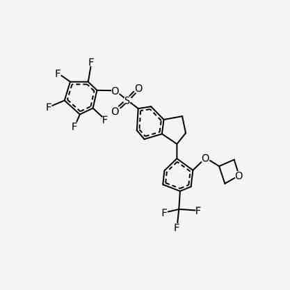 O=S(=O)(Oc1c(F)c(F)c(F)c(F)c1F)c1ccc2c(c1)CCC2c1ccc(C(F)(F)F)cc1OC1COC1